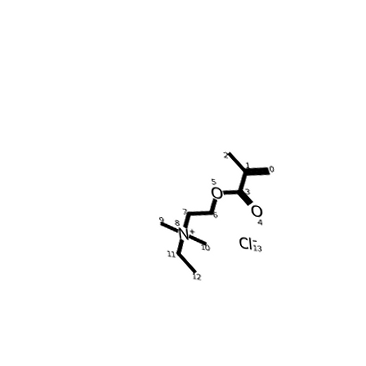 C=C(C)C(=O)OCC[N+](C)(C)CC.[Cl-]